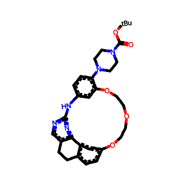 CC(C)(C)OC(=O)N1CCN(c2ccc3cc2OCCOCCOc2ccc4c(c2)-c2nc(ncc2CC4)N3)CC1